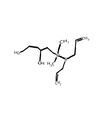 C=CCN(CC=C)[N+](C)(C)CC(O)CO